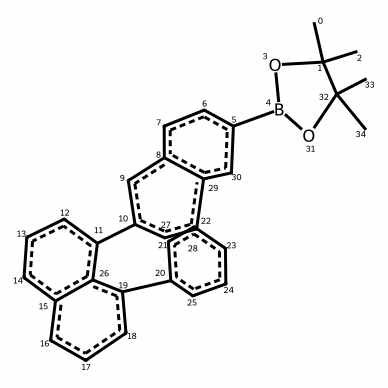 CC1(C)OB(c2ccc3cc(-c4cccc5cccc(-c6ccccc6)c45)ccc3c2)OC1(C)C